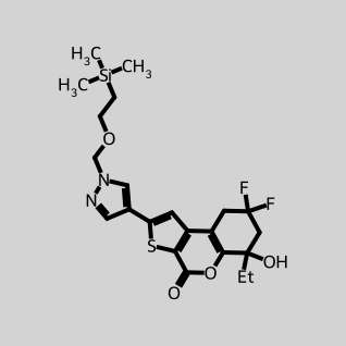 CCC1(O)CC(F)(F)Cc2c1oc(=O)c1sc(-c3cnn(COCC[Si](C)(C)C)c3)cc21